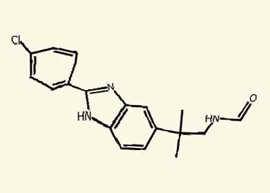 CC(C)(CNC=O)c1ccc2[nH]c(-c3ccc(Cl)cc3)nc2c1